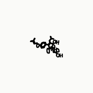 CC(C)=CCOc1ccc(/C(C(=O)NCC(=O)O)=C(\CC(C)C)C(=O)O)cc1